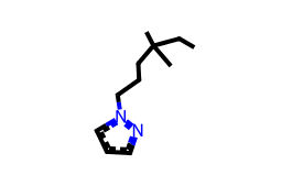 CCC(C)(C)CCCn1cccn1